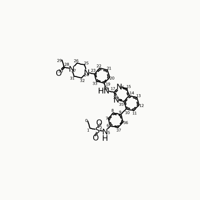 CCS(=O)(=O)Nc1ccc(-c2cccc3cnc(Nc4cccc(N5CCN(C(C)=O)CC5)c4)nc23)cc1